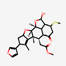 COC(=O)C[C@H]1[C@]2(C)C3=C(C)C(c4ccoc4)CC3O[C@@H]2[C@@H]2OC(O)[C@]3(C)C(SC)CC(=O)[C@@]1(C)C23